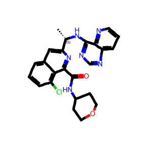 C[C@H](Nc1ncnc2cccnc12)c1cc2cccc(Cl)c2c(C(=O)NC2CCOCC2)n1